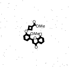 COC(=O)C1CC(Oc2cccc(-c3cc(=O)c4cccc(Cl)c4o3)c2OC)C1